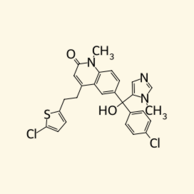 Cn1cncc1C(O)(c1ccc(Cl)cc1)c1ccc2c(c1)c(CCc1ccc(Cl)s1)cc(=O)n2C